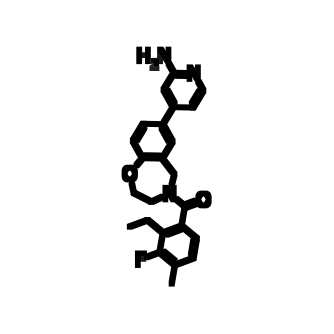 CCc1c(C(=O)N2CCOc3ccc(-c4ccnc(N)c4)cc3C2)ccc(C)c1F